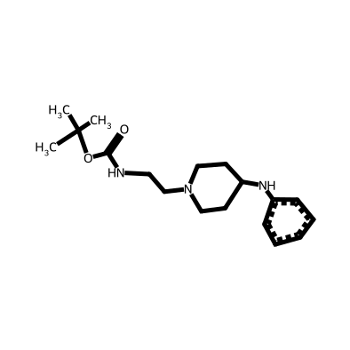 CC(C)(C)OC(=O)NCCN1CCC(Nc2ccccc2)CC1